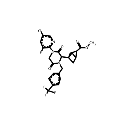 COC(=O)C1CC2(C3C(=O)N(c4ncc(Cl)cc4F)CC(=O)N3Cc3ccc(C(F)(F)F)cc3)CC1C2